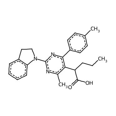 CCCC(C(=O)O)c1c(C)nc(N2CCc3ccccc32)nc1-c1ccc(C)cc1